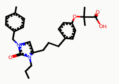 CCCn1c(CCCc2ccc(OC(C)(C)C(=O)O)cc2)cn(Cc2ccc(C)cc2)c1=O